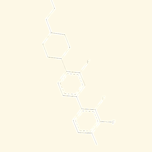 CCCC1CCC(c2ccc(-c3ccc(C)c(F)c3F)cc2F)CC1